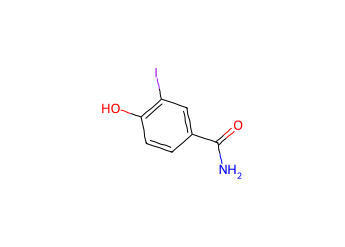 NC(=O)c1ccc(O)c(I)c1